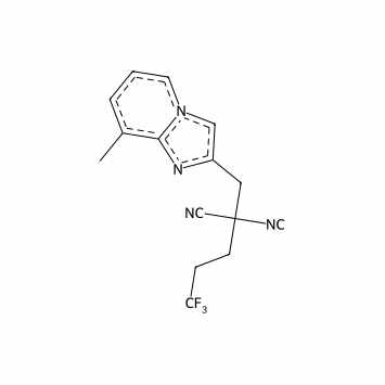 [C-]#[N+]C(C#N)(CCC(F)(F)F)Cc1cn2cccc(C)c2n1